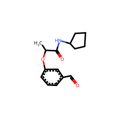 CC(Oc1cccc(C=O)c1)C(=O)NC1CCCC1